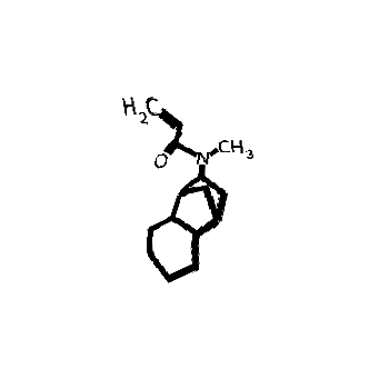 C=CC(=O)N(C)C1CC2CC1C1CCCCC21